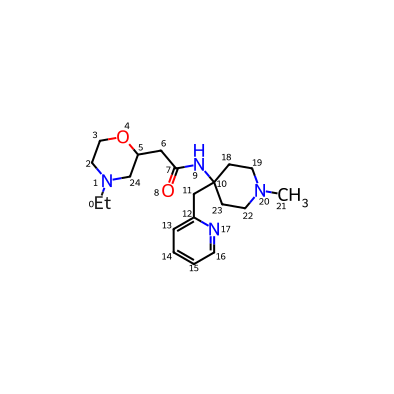 CCN1CCOC(CC(=O)NC2(Cc3ccccn3)CCN(C)CC2)C1